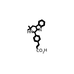 CC1(C)CC2C(=Nc3ccccc32)C(c2ccc(C=CC(=O)O)cc2)N1